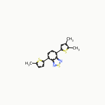 Cc1ccc(-c2ccc(-c3cc(C)c(C)s3)c3nsnc23)s1